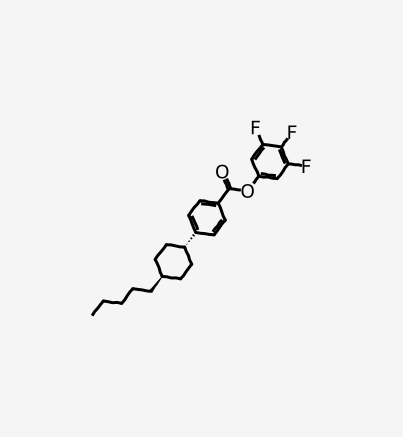 CCCCC[C@H]1CC[C@H](c2ccc(C(=O)Oc3cc(F)c(F)c(F)c3)cc2)CC1